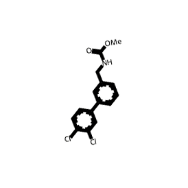 COC(=O)NCc1cccc(-c2ccc(Cl)c(Cl)c2)c1